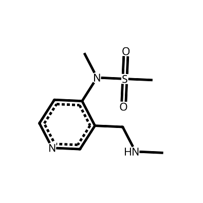 CNCc1cnccc1N(C)S(C)(=O)=O